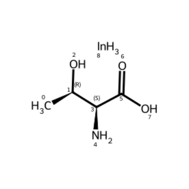 C[C@@H](O)[C@H](N)C(=O)O.[InH3]